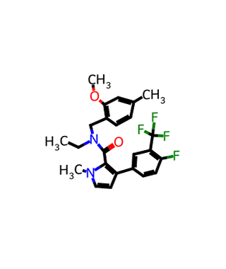 CCN(Cc1ccc(C)cc1OC)C(=O)c1c(-c2ccc(F)c(C(F)(F)F)c2)ccn1C